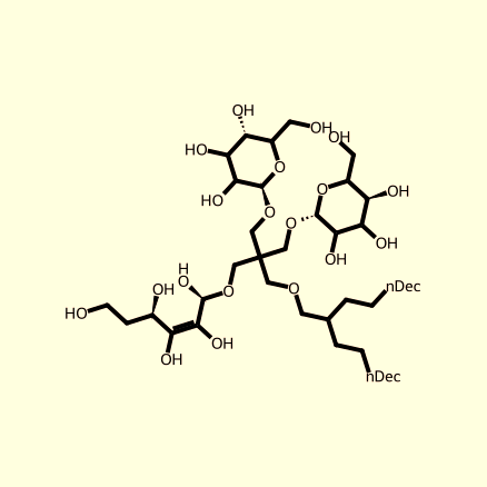 CCCCCCCCCCCCC(CCCCCCCCCCCC)COCC(CO[C@@H]1OC(CO)[C@@H](O)C(O)C1O)(CO[C@@H]1OC(CO)[C@@H](O)C(O)C1O)CO[C@H](O)/C(O)=C(/O)[C@H](O)CCO